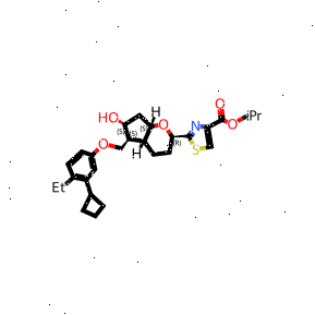 CCc1ccc(OC[C@@H]2[C@H]3CC[C@H](c4nc(C(=O)OC(C)C)cs4)O[C@H]3C[C@@H]2O)cc1C1CCC1